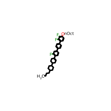 C=CCCC1CCC(C2CC=C(c3ccc(-c4ccc(-c5ccc(OCCCCCCCC)c(F)c5F)cc4)cc3F)CC2)CC1